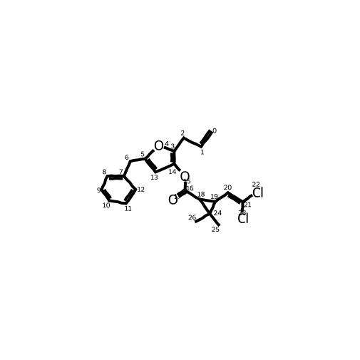 C=CCc1oc(Cc2ccccc2)cc1OC(=O)C1C(C=C(Cl)Cl)C1(C)C